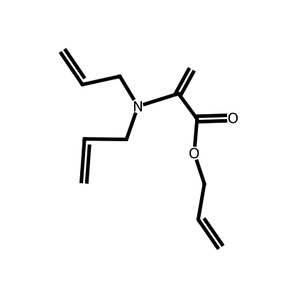 C=CCOC(=O)C(=C)N(CC=C)CC=C